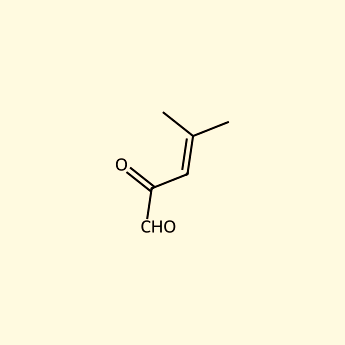 CC(C)=CC(=O)C=O